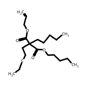 C=CCOC(=O)C(CCCCC)(CCCCC)C(=O)OCCCCC